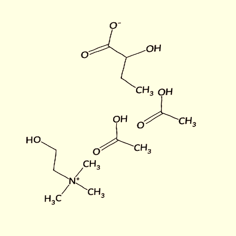 CC(=O)O.CC(=O)O.CCC(O)C(=O)[O-].C[N+](C)(C)CCO